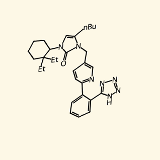 CCCCc1cn(C2CCCCC2(CC)CC)c(=O)n1Cc1ccc(-c2ccccc2-c2nnn[nH]2)nc1